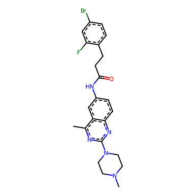 Cc1nc(N2CCN(C)CC2)nc2ccc(NC(=O)CCc3ccc(Br)cc3F)cc12